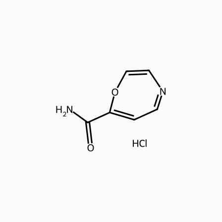 Cl.NC(=O)C1=CC=NC=CO1